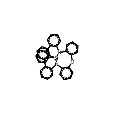 c1ccc2c(c1)Oc1ccccc1N1c3ccccc3-c3ccccc3[Si]13c1ccccc1-c1ccccc1N23